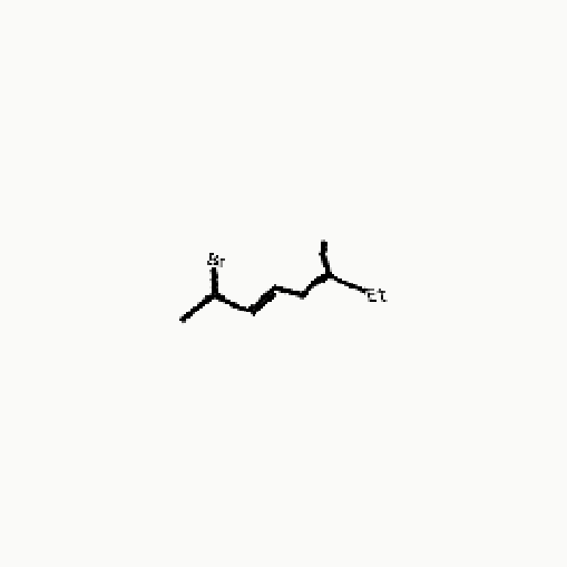 CCC(C)CC=CC(C)Br